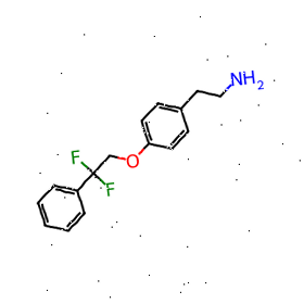 NCCc1ccc(OCC(F)(F)c2ccccc2)cc1